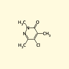 Cc1nn(C)c(=O)c(C)c1Cl